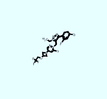 CCn1nnc(-c2ccc(Cl)cc2F)c1Cn1ncc(N2CC(OCC(F)(F)F)C2)cc1=O